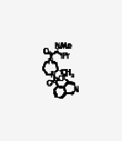 CN[C@@H](C(=O)N1CCCN(S(=O)(=O)c2cccc3cncc(F)c23)[C@@H](C)C1)C(C)C